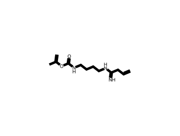 C=CCC(=N)NCCCCNC(=O)OC(=C)C